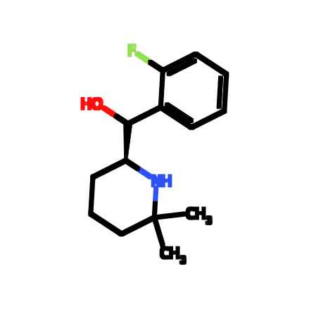 CC1(C)CCC[C@@H](C(O)c2ccccc2F)N1